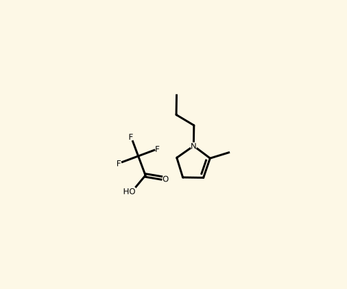 CCCN1CCC=C1C.O=C(O)C(F)(F)F